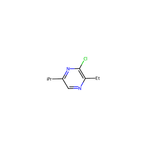 CCc1ncc(C(C)C)nc1Cl